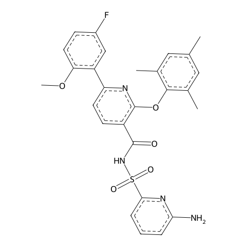 COc1ccc(F)cc1-c1ccc(C(=O)NS(=O)(=O)c2cccc(N)n2)c(Oc2c(C)cc(C)cc2C)n1